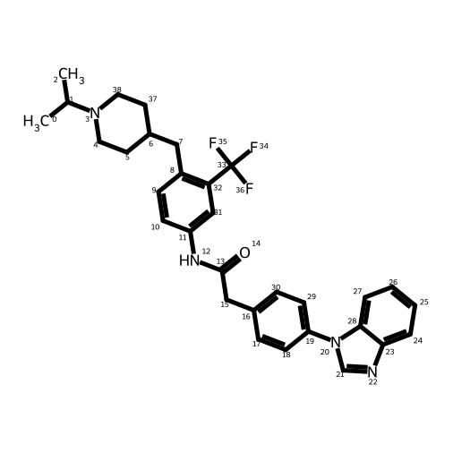 CC(C)N1CCC(Cc2ccc(NC(=O)Cc3ccc(-n4cnc5ccccc54)cc3)cc2C(F)(F)F)CC1